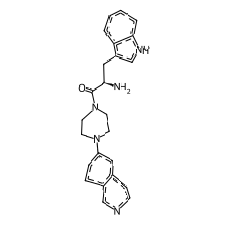 N[C@H](Cc1c[nH]c2ccccc12)C(=O)N1CCN(c2ccc3cnccc3c2)CC1